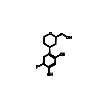 OC[C@H]1C[C@@H](c2cc(F)c(O)cc2O)CCO1